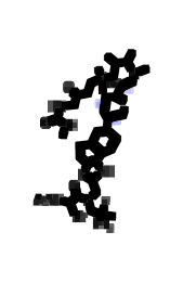 C=C(/C=C\C(=C/C)c1ccc2c(ccc3nc(CN(CC(C)(F)P)C(=O)C(NC(C)=O)C(C)C)[nH]c32)c1)/C(=C/N(C)C(C)C(C)CS(C)(C)CCC(=O)CNC(=O)PC)C(C)CC